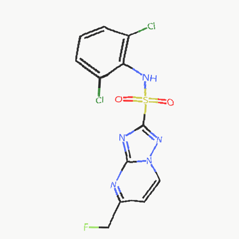 O=S(=O)(Nc1c(Cl)cccc1Cl)c1nc2nc(CF)ccn2n1